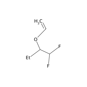 C=COC(CC)C(F)F